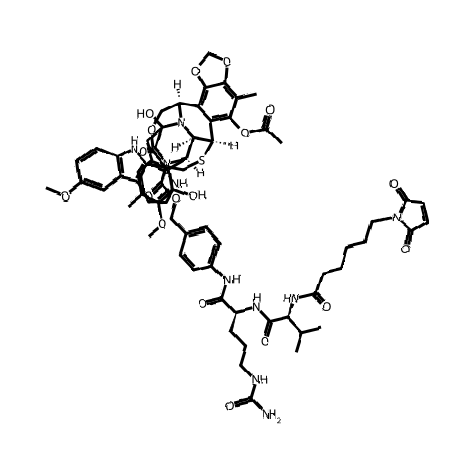 COc1ccc2[nH]c3c(c2c1)CCN[C@]31CS[C@@H]2c3c(OC(C)=O)c(C)c4c(c3[C@H](COC1=O)N1[C@@H]2[C@H]2c3c(cc(C)c(OC)c3O)CC1(O)CN2C(=O)OCc1ccc(NC(=O)[C@H](CCCNC(N)=O)NC(=O)[C@@H](NC(=O)CCCCCN2C(=O)C=CC2=O)C(C)C)cc1)OCO4